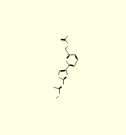 CS/C(N)=N/c1nc(-c2cccc(CNC(C)=O)n2)cs1